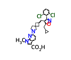 Cn1cc(C(=O)O)c2ccc(N3CCC4(CC(=Cc5c(-c6c(Cl)cccc6Cl)noc5CC5CC5)C4)C3)nc21